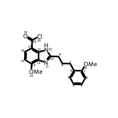 COc1ccccc1CCCc1nc2c(OC)ccc(C(=O)Cl)c2[nH]1